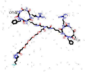 N=C(N)NCCC[C@@H]1NC(=O)[C@H](CCCCNC(=O)CCN(CCC(=O)NCCCC[C@@H]2NC(=O)N(Cc3ccccc3)NC(=O)[C@H](CC(=O)O)NC(=O)CNC(=O)[C@H](CCCNC(=N)N)NC2=O)C(=O)CCOCCOCCOCCOCCCC(=O)Cn2cc(CCC[18F])nn2)NC(=O)N(Cc2ccccc2)NC(=O)[C@H](CC(=O)O)CC(=O)CNC1=O